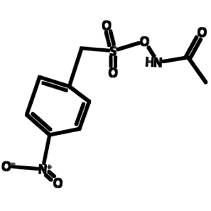 CC(=O)NOS(=O)(=O)Cc1ccc([N+](=O)[O-])cc1